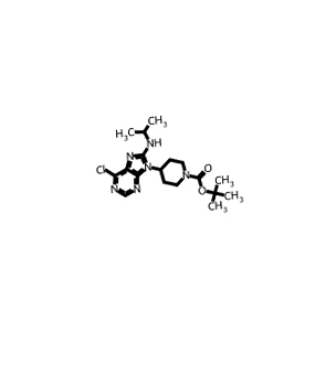 CC(C)Nc1nc2c(Cl)ncnc2n1C1CCN(C(=O)OC(C)(C)C)CC1